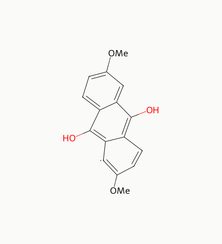 COc1[c]c2c(O)c3ccc(OC)cc3c(O)c2cc1